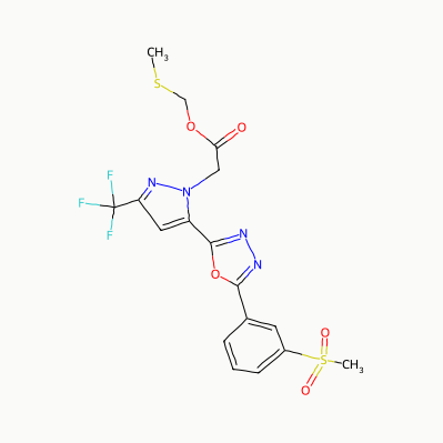 CSCOC(=O)Cn1nc(C(F)(F)F)cc1-c1nnc(-c2cccc(S(C)(=O)=O)c2)o1